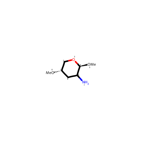 CO[C@@H]1CO[C@@H](OC)C(N)C1